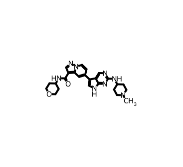 CN1CCC(Nc2ncc3c(-c4ccn5ncc(C(=O)NC6CCOCC6)c5c4)c[nH]c3n2)CC1